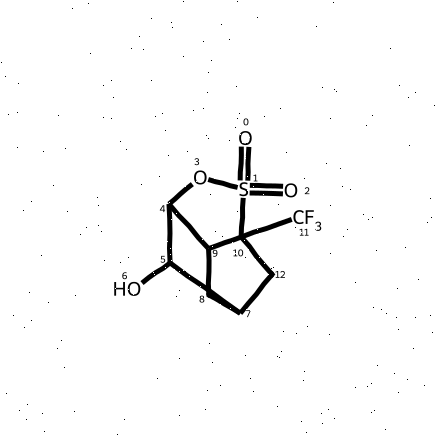 O=S1(=O)OC2C(O)C3CC2C1(C(F)(F)F)C3